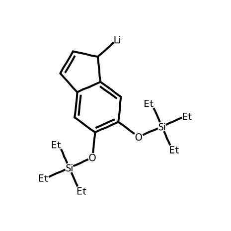 [Li][CH]1C=Cc2cc(O[Si](CC)(CC)CC)c(O[Si](CC)(CC)CC)cc21